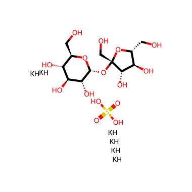 O=S(=O)(O)O.OC[C@H]1O[C@@](CO)(O[C@H]2O[C@H](CO)[C@@H](O)[C@H](O)[C@H]2O)[C@@H](O)[C@@H]1O.[KH].[KH].[KH].[KH].[KH].[KH]